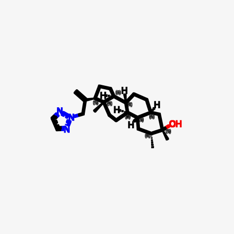 C=C(Cn1nccn1)[C@H]1CC[C@H]2[C@@H]3CC[C@H]4C[C@](C)(O)[C@H](C)C[C@@H]4[C@H]3CC[C@]12C